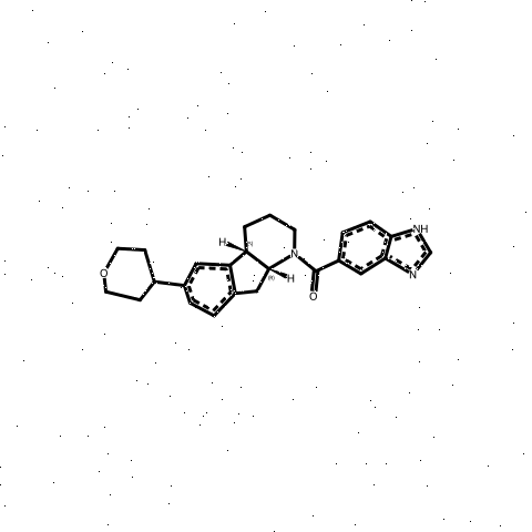 O=C(c1ccc2[nH]cnc2c1)N1CCC[C@H]2c3cc(C4CCOCC4)ccc3C[C@H]21